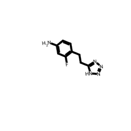 Nc1ccc(CCc2nnn[nH]2)c(F)c1